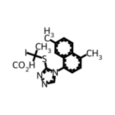 Cc1ccc2c(C)ccc(-n3cnnc3SC(C)(I)C(=O)O)c2c1